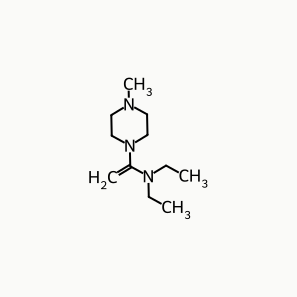 C=C(N(CC)CC)N1CCN(C)CC1